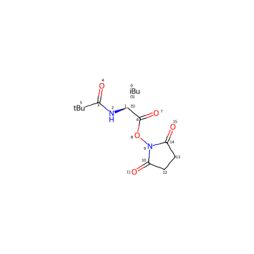 CC[C@H](C)[C@H](NC(=O)C(C)(C)C)C(=O)ON1C(=O)CCC1=O